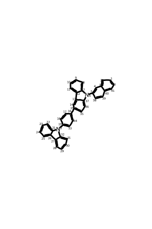 c1ccc2cc(-n3c4ccccc4c4cc(-c5ccc(-n6c7ccccc7c7ccccc76)cc5)ccc43)ccc2c1